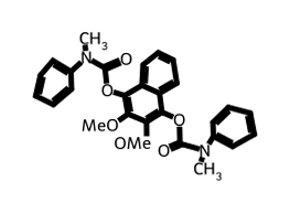 COc1c(OC)c(OC(=O)N(C)c2ccccc2)c2ccccc2c1OC(=O)N(C)c1ccccc1